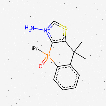 CC(C)P1(=O)c2ccccc2C(C)(C)c2sc[n+](N)c21